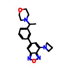 CC(c1cccc(-c2cc(N3CCC3)c3nonc3c2)c1)N1CCOCC1